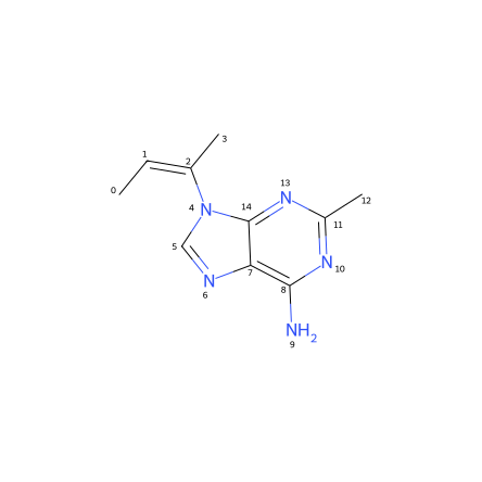 C/C=C(/C)n1cnc2c(N)nc(C)nc21